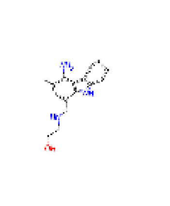 Cc1cc(CNCCO)c2[nH]c3ccccc3c2c1N